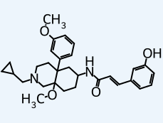 COc1cccc(C23CCN(CC4CC4)CC2(OC)CCC(NC(=O)/C=C/c2cccc(O)c2)C3)c1